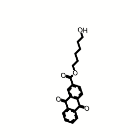 O=C(OCCCCCCO)c1ccc2c(c1)C(=O)c1ccccc1C2=O